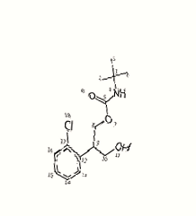 CC(C)(C)NC(=O)OCC(CO)c1ccccc1Cl